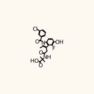 Cc1c(CC(=O)NC(C)(C)C(=O)O)c2c(F)c(O)ccc2n1C(=O)c1cccc(Cl)c1